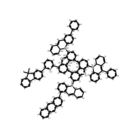 CC1(C)c2ccccc2-c2ccc(-c3cccc(-c4ccc5c6cc(N7c8cccc(-c9ccc%10cc%11ccccc%11cc%10c9)c8C=C8C=CC=CC87)cc7oc8c(N9c%10ccccc%10C(c%10ccccc%10)=C%10C=CC=CC%109)ccc(c9ccc(N%10c%11ccc(-c%12ccccc%12)cc%11C=C%11C=CC=CC%11%10)c%10oc4c5c%109)c8c76)n3)cc21